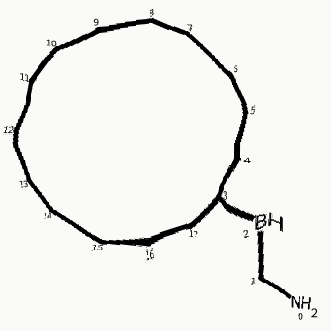 NCBC1CCCCCCCCCCCCCC1